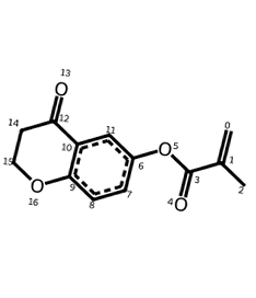 C=C(C)C(=O)Oc1ccc2c(c1)C(=O)CCO2